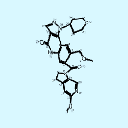 COCc1cc2c(cc1C(=O)N1CCc3cc(OC)ncc31)[nH]c(=O)c1cnn(C3CCOCC3)c12